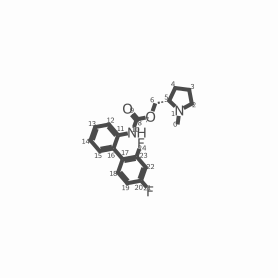 CN1CCC[C@H]1COC(=O)Nc1ccccc1-c1ccc(F)cc1F